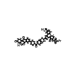 CCCS(=O)(=O)Nc1cccc(-c2nc(C3CCC4(CC3)CCN(C(=O)C3CCN(c5ccc6c(c5)C(=O)N([C@@H]5CCC(=O)NC5=O)C6=O)CC3)CC4)sc2-c2ccnc(N)n2)c1F